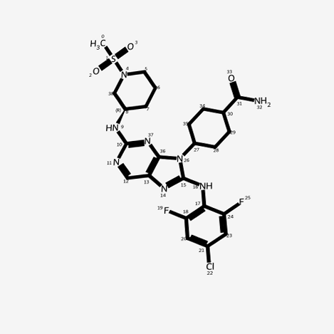 CS(=O)(=O)N1CCC[C@@H](Nc2ncc3nc(Nc4c(F)cc(Cl)cc4F)n(C4CCC(C(N)=O)CC4)c3n2)C1